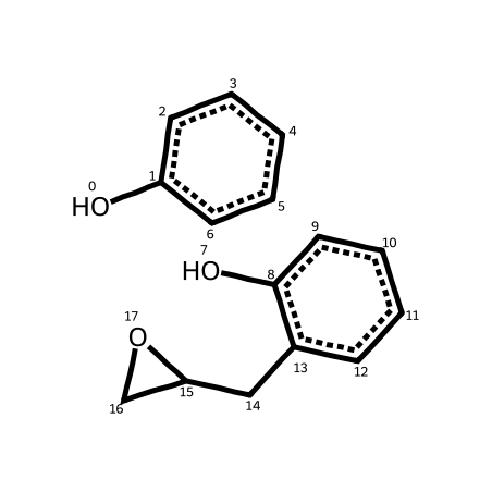 Oc1ccccc1.Oc1ccccc1CC1CO1